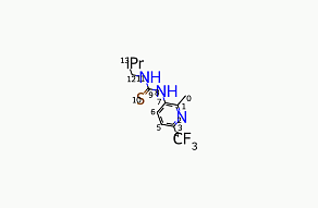 Cc1nc(C(F)(F)F)ccc1NC(=S)NCC(C)C